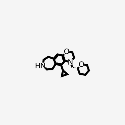 c1c2c(c(C3CC3)c3c1OCCN3C[C@H]1CCCCO1)CCNCC2